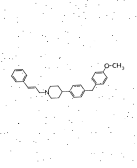 COc1ccc(Cc2ccc(C3CCN(CC=Cc4ccccc4)CC3)cc2)cc1